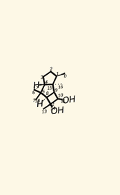 C[C@@H]1CC[C@H]2C(C)(C)[C@H]3C(C(O)C3(C)O)[C@]12C